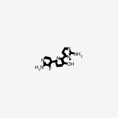 CN1C(c2nc(-c3ccnc(N)c3F)ccc2O)=CC=NC1N